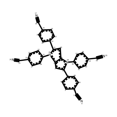 N#Cc1ccc(-c2cc3c(cc(-c4ccc(C#N)cc4)n3-c3ccc(C#N)cc3)n2-c2ccc(C#N)cc2)cc1